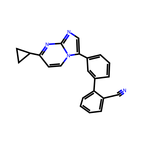 N#Cc1ccccc1-c1cccc(-c2cnc3nc(C4CC4)ccn23)c1